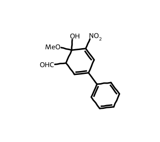 COC1(O)C([N+](=O)[O-])=CC(c2ccccc2)=CC1C=O